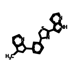 CC1CC(c2cccc(C3CSC(c4c[nH]c5ncccc45)=N3)c2)c2ncccc21